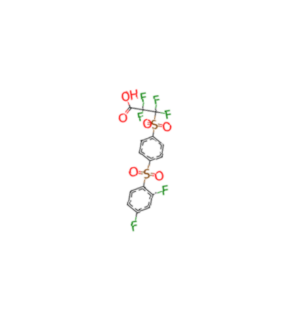 O=C(O)C(F)(F)C(F)(F)S(=O)(=O)c1ccc(S(=O)(=O)c2ccc(F)cc2F)cc1